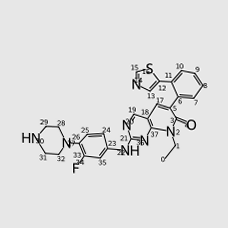 CCn1c(=O)c(-c2ccccc2-c2cncs2)cc2cnc(Nc3ccc(N4CCNCC4)c(F)c3)nc21